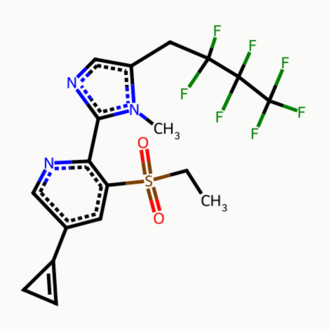 CCS(=O)(=O)c1cc(C2=CC2)cnc1-c1ncc(CC(F)(F)C(F)(F)C(F)(F)F)n1C